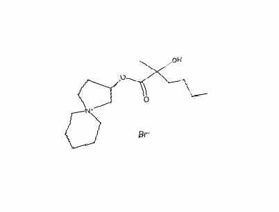 CCCCC(C)(O)C(=O)OC1CC[N+]2(CCCCC2)C1.[Br-]